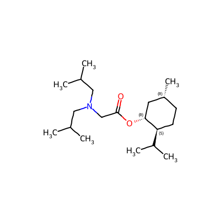 CC(C)CN(CC(=O)O[C@@H]1C[C@H](C)CC[C@H]1C(C)C)CC(C)C